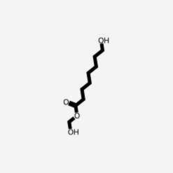 O=C(CCCCCCCO)OCO